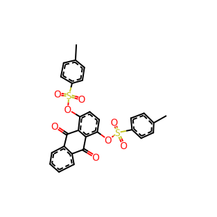 Cc1ccc(S(=O)(=O)Oc2ccc(OS(=O)(=O)c3ccc(C)cc3)c3c2C(=O)c2ccccc2C3=O)cc1